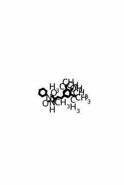 CC1(CCc2cc(C(C)(C)C)c(O)c(C(C)(C)C)c2)NC(=O)N(C2CCCCC2)C1=O